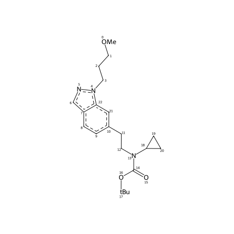 COCCCn1ncc2ccc(CCN(C(=O)OC(C)(C)C)C3CC3)cc21